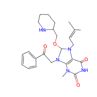 CC(C)=CCN1c2c(n(C)c(=O)[nH]c2=O)N(CC(=O)c2ccccc2)C1OCC1CCCCN1